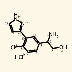 Cl.NC(CO)c1ccc(Cl)c(-c2cc[nH]n2)c1